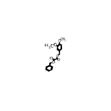 COc1ccc(COC(=O)C(=O)OCc2ccccc2)cc1OC